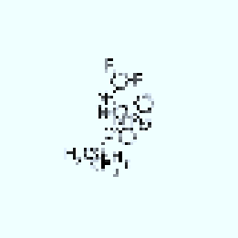 C[Si](C)(C)CCOCn1c(P(=O)(c2ccccc2)c2ccccc2)cc2c(-c3cc(F)cc(F)c3)ncnc21